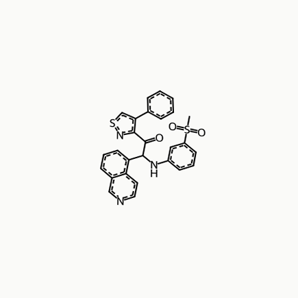 CS(=O)(=O)c1cccc(NC(C(=O)c2nscc2-c2ccccc2)c2cccc3cnccc23)c1